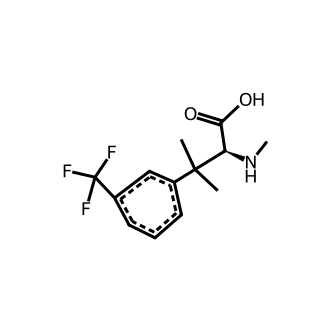 CN[C@H](C(=O)O)C(C)(C)c1cccc(C(F)(F)F)c1